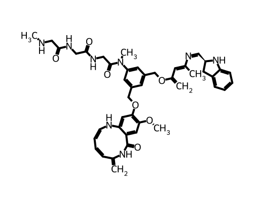 C=C1/C=C\C=C/Nc2cc(OCc3cc(COC(=C)/C=C(C)/N=C\[C@@H]4Cc5ccccc5N4)cc(N(C)C(=O)CNC(=O)CNC(=O)CNC)c3)c(OC)cc2C(=O)N1